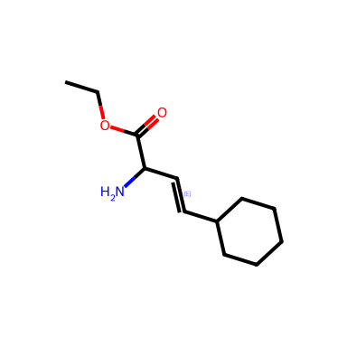 CCOC(=O)C(N)/C=C/C1CCCCC1